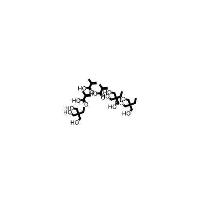 C=C(C)C(=O)O.C=C(C)C(=O)O.C=C(C)C(=O)O.CCC(CO)(CO)CO.CCC(CO)(CO)CO.CCC(CO)(CO)CO